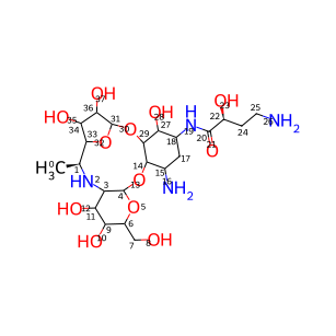 C[C@@H]1NC2C(OC(CO)C(O)C2O)OC2C(N)CC(NC(=O)[C@@H](O)CCN)C(O)C2OC2OC1C(O)C2O